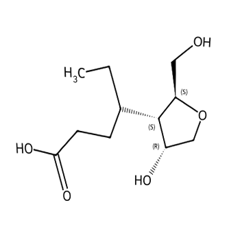 CCC(CCC(=O)O)[C@H]1[C@@H](O)CO[C@@H]1CO